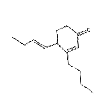 CC/C=C/C1CCC(=O)C=C1CCCC